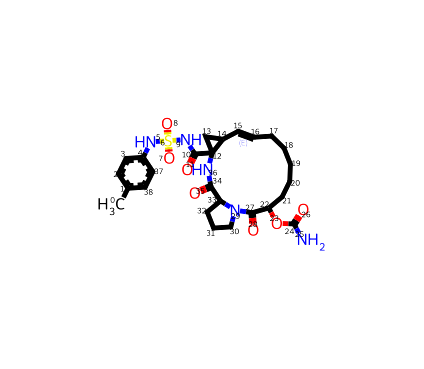 Cc1ccc(NS(=O)(=O)NC(=O)C23CC2/C=C/CCCCCC(OC(N)=O)C(=O)N2CCCC2C(=O)N3)cc1